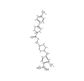 O=C(COC1CCC(Oc2ccc(N(O)O)c(C(F)(F)F)c2)CC1)N1CCN(c2ccc(C(F)(F)F)cc2)CC1